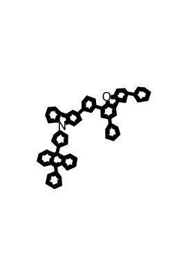 c1ccc(-c2ccc3oc4c(-c5cccc(-c6ccc7c(c6)c6ccccc6n7-c6ccc(-c7c8ccccc8c(-c8ccccc8)c8ccccc78)cc6)c5)cc(-c5ccccc5)cc4c3c2)cc1